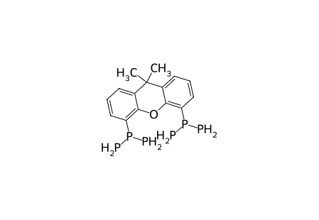 CC1(C)c2cccc(P(P)P)c2Oc2c(P(P)P)cccc21